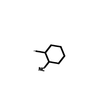 [CH2]C1CCCCC1C#N